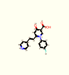 O=C(O)c1cn(-c2ccc(F)cc2)c(C=Cc2ccncc2)cc1=O